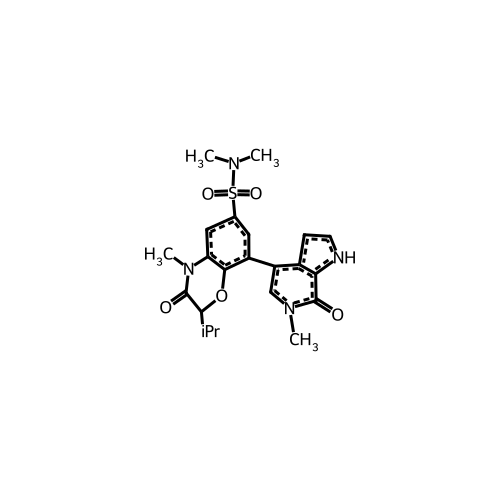 CC(C)C1Oc2c(-c3cn(C)c(=O)c4[nH]ccc34)cc(S(=O)(=O)N(C)C)cc2N(C)C1=O